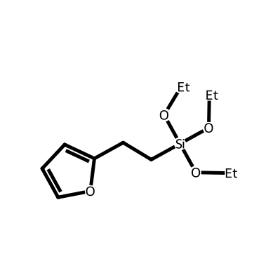 CCO[Si](CCc1ccco1)(OCC)OCC